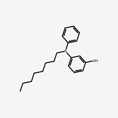 CCCCCCCCN(c1ccccc1)c1cccc(O)c1